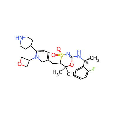 C[C@H](NC1=NS(=O)(=O)C(CC2=CC=C(C3CCNCC3)N(C3COC3)C2)C(C)(C)O1)c1ccccc1F